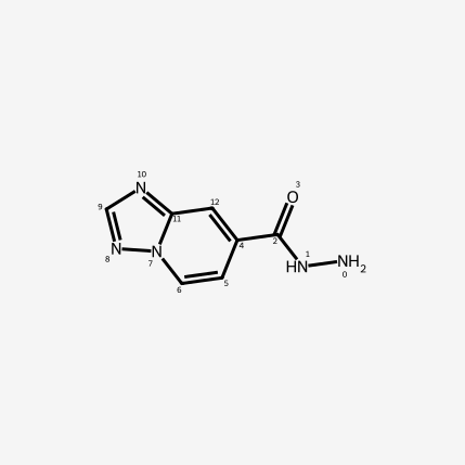 NNC(=O)c1ccn2ncnc2c1